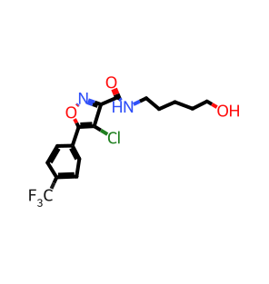 O=C(NCCCCCO)c1noc(-c2ccc(C(F)(F)F)cc2)c1Cl